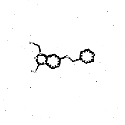 CC(=O)Cn1nc(C)c2ccc(OCc3ccccc3)cc21